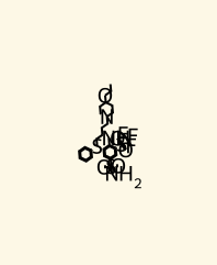 CCOC1CCN(CCC(CSc2ccccc2)Nc2ccc(S(N)(=O)=O)cc2S(=O)(=O)C(F)(F)F)CC1